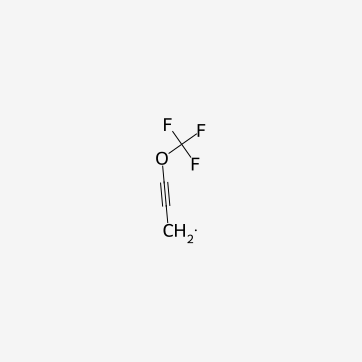 [CH2]C#COC(F)(F)F